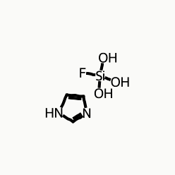 O[Si](O)(O)F.c1c[nH]cn1